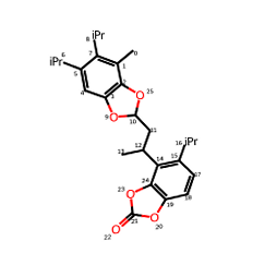 Cc1c2c(cc(C(C)C)c1C(C)C)OC(CC(C)c1c(C(C)C)ccc3oc(=O)oc13)O2